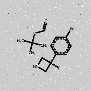 CC(C)(C)OC=O.FC1(c2ccc(Br)cc2)CNC1